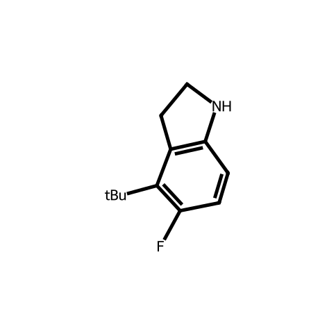 CC(C)(C)c1c(F)ccc2c1CCN2